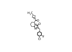 CC1CN(C(=O)C2CCCc3nn(Cc4ccc(Cl)c(F)c4)c(=O)n32)C1